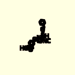 [C-]#[N+]c1ccc(Oc2ccc3c(c2)COB3O)nc1NCCOCc1ccccc1